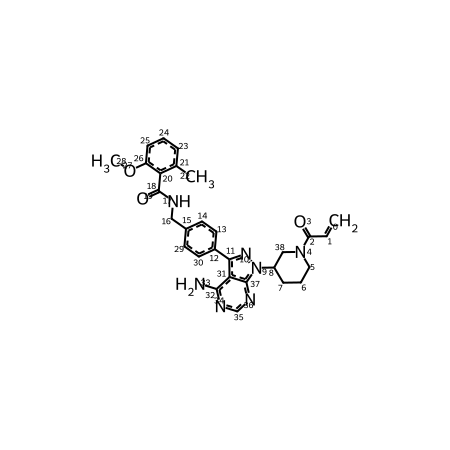 C=CC(=O)N1CCCC(n2nc(-c3ccc(CNC(=O)c4c(C)cccc4OC)cc3)c3c(N)ncnc32)C1